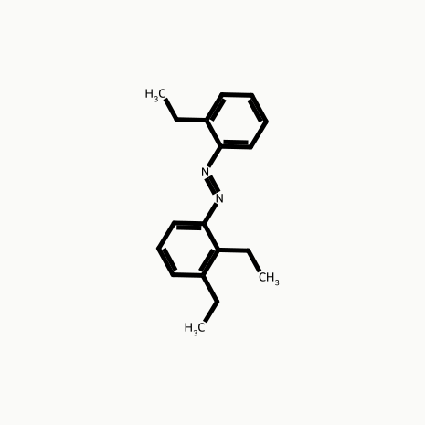 CCc1ccccc1/N=N/c1cccc(CC)c1CC